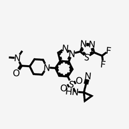 CN(C)C(=O)C1CCN(c2cc(S(=O)(=O)NC3(C#N)CC3)cc3c2cnn3-c2nnc(C(F)F)s2)CC1